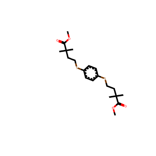 COC(=O)C(C)(C)CCSc1ccc(SCCC(C)(C)C(=O)OC)cc1